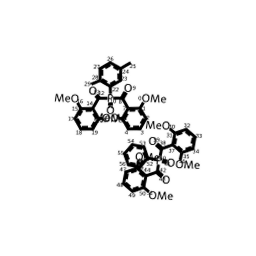 COc1cccc(OC)c1C(=O)P(=O)(C(=O)c1c(OC)cccc1OC)c1cc(C)ccc1C.COc1cccc(OC)c1C(=O)P(=O)(C(=O)c1c(OC)cccc1OC)c1ccccc1